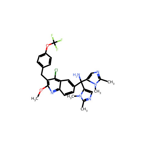 COc1nc2ccc(C(N)(c3cnc(C)n3C)c3cnc(C)n3C)cc2c(Cl)c1Cc1ccc(OC(F)(F)F)cc1